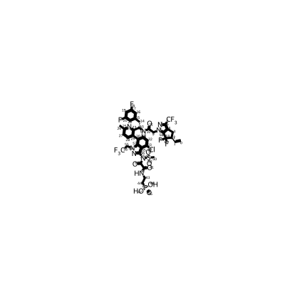 C=C[C@@H]1Cc2c(C(F)(F)F)nn(CC(=O)N[C@@H](Cc3cc(F)cc(F)c3)c3nc(C)ccc3-c3ccc(Cl)c4c(N(C(=O)C(=O)NCCP(=O)(O)O)S(C)(=O)=O)nn(CC(F)(F)F)c34)c2C1(F)F